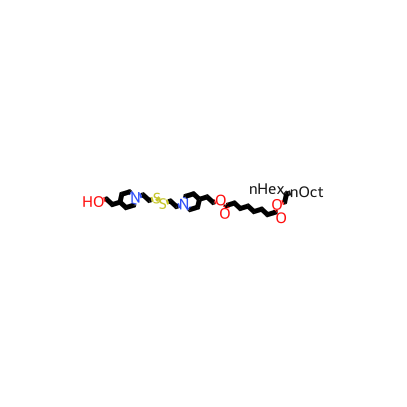 CCCCCCCCC(CCCCCC)COC(=O)CCCCCCC(=O)OCCC1CCN(CCSSCCN2CCC(CCO)CC2)CC1